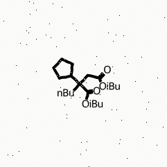 CCCCC(CC(=O)OCC(C)C)(C(=O)OCC(C)C)C1CCCC1